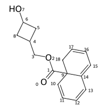 O=C(OCC1CC(O)C1)C12C=CC=CC1=CC=CC2